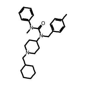 Cc1ccc(CN(C(=O)N(C)c2ccccc2)C2CCN(CC3CCCCC3)CC2)cc1